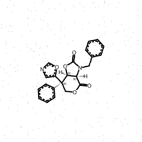 O=C1OC[C@@](c2ccccc2)(c2cnco2)[C@H]2OC(=O)N(Cc3ccccc3)[C@@H]12